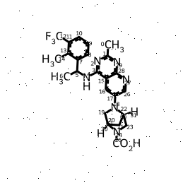 Cc1nc(NC(C)c2cccc(C(F)(F)F)c2C)c2cc(N3C[C@@H]4C[C@H]3CN4C(=O)O)cnc2n1